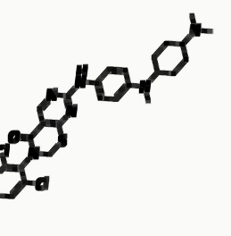 CN(C)C1CCC(N(C)c2ccc(Nc3ncc4c(n3)SCN(c3c(Cl)cccc3Cl)C4=O)cc2)CC1